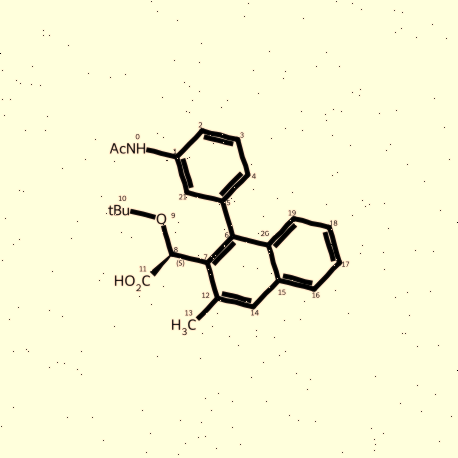 CC(=O)Nc1cccc(-c2c([C@H](OC(C)(C)C)C(=O)O)c(C)cc3ccccc23)c1